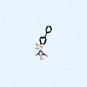 O=C1C[C@@H](NS(=O)(=O)c2ccc(-c3ccccc3)cc2)C(=O)N1O